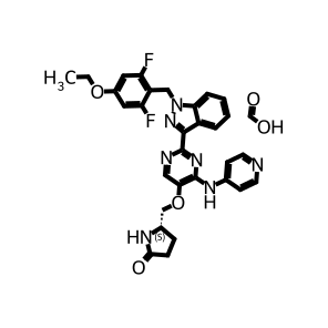 CCOc1cc(F)c(Cn2nc(-c3ncc(OC[C@@H]4CCC(=O)N4)c(Nc4ccncc4)n3)c3ccccc32)c(F)c1.O=CO